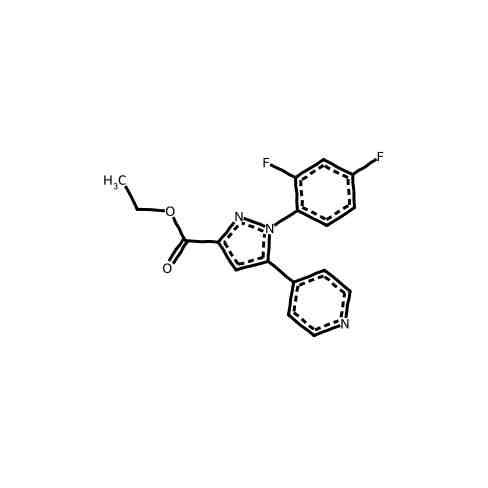 CCOC(=O)c1cc(-c2ccncc2)n(-c2ccc(F)cc2F)n1